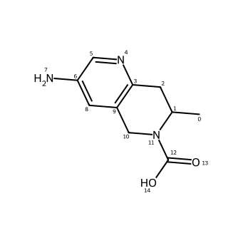 CC1Cc2ncc(N)cc2CN1C(=O)O